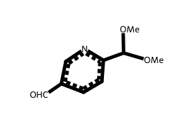 COC(OC)c1ccc(C=O)cn1